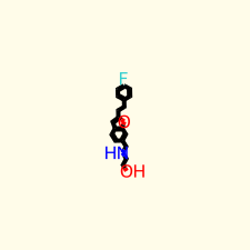 OCCNCc1ccc2cc(CCc3ccc(F)cc3)oc2c1